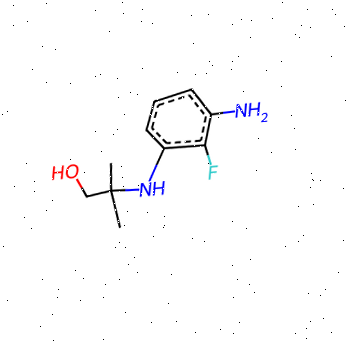 CC(C)(CO)Nc1cccc(N)c1F